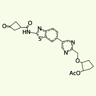 CC(=O)OC1CCCC1OCc1ncc(-c2ccc3nc(NC(=O)C4CC(=O)C4)sc3c2)cn1